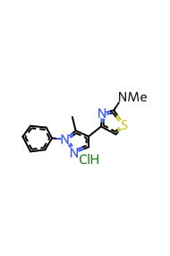 CNc1nc(-c2cnn(-c3ccccc3)c2C)cs1.Cl